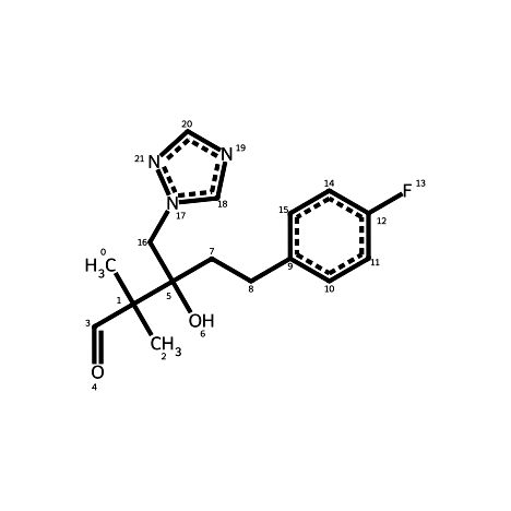 CC(C)(C=O)C(O)(CCc1ccc(F)cc1)Cn1cncn1